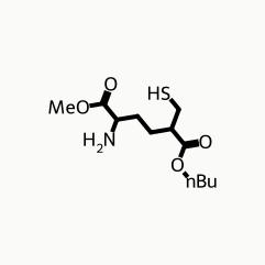 CCCCOC(=O)C(CS)CCC(N)C(=O)OC